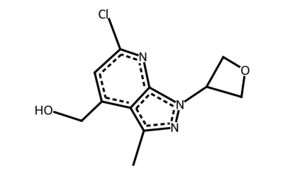 Cc1nn(C2COC2)c2nc(Cl)cc(CO)c12